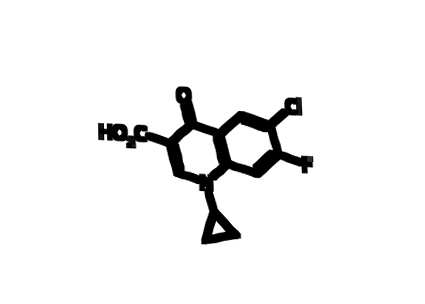 O=C(O)c1cn(C2CC2)c2cc(F)c(Cl)cc2c1=O